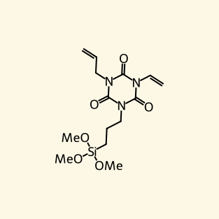 C=CCn1c(=O)n(C=C)c(=O)n(CCC[Si](OC)(OC)OC)c1=O